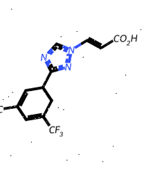 O=C(O)C=Cn1cnc(C2C=C(C(F)(F)F)C=C(C(F)(F)F)C2)n1